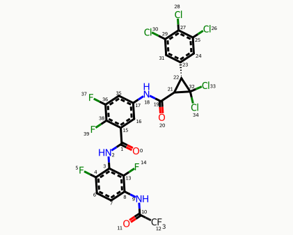 O=C(Nc1c(F)ccc(NC(=O)C(F)(F)F)c1F)c1cc(NC(=O)C2[C@H](c3cc(Cl)c(Cl)c(Cl)c3)C2(Cl)Cl)cc(F)c1F